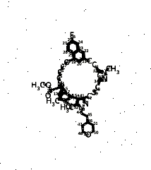 COC(=O)c1c(C)c2c3c(Cl)ccc2n1CCCOc1cc(cc2cc(F)ccc12)CCc1cc(nn1C)CSCc1nn(CCC2CCOCC2)c(C)c1-3